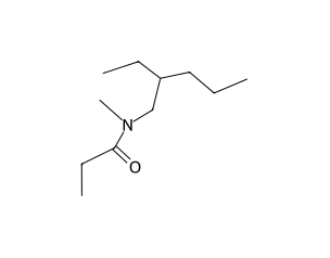 CCCC(CC)CN(C)C(=O)CC